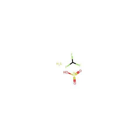 FC(F)F.O=[SH](=O)O.S